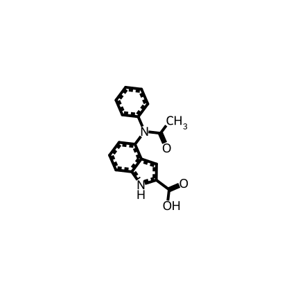 CC(=O)N(c1ccccc1)c1cccc2[nH]c(C(=O)O)cc12